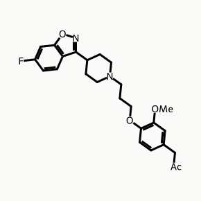 COc1cc(CC(C)=O)ccc1OCCCN1CCC(c2noc3cc(F)ccc23)CC1